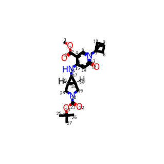 COC(=O)c1cn(C23CC(C2)C3)c(=O)cc1NC1[C@H]2CN(C(=O)OC(C)(C)C)C[C@@H]12